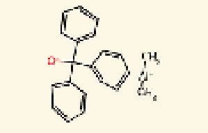 [CH3][Al+][CH3].[O-]C(c1ccccc1)(c1ccccc1)c1ccccc1